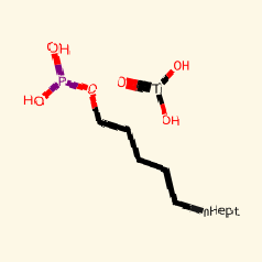 CCCCCCCCCCCCOP(O)O.[O]=[Ti]([OH])[OH]